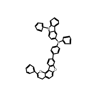 C1=C(c2ccccc2)Oc2c(ccc3oc4cc(-c5ccc(N(c6ccccc6)c6ccc7c(c6)c6ccccc6n7-c6ccccc6)cc5)ccc4c23)C1